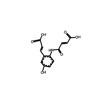 O=C(O)C=CC(=O)Nc1ccc(O)cc1C=CC(=O)O